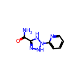 NC(=O)C1=NNN(c2ccccn2)N1